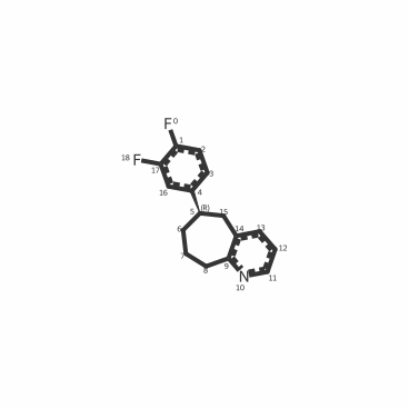 Fc1ccc([C@@H]2CCCc3ncccc3C2)cc1F